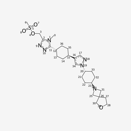 Cn1c(COS(C)(=O)=O)nnc1[C@H]1CC[C@H](c2cnn([C@H]3CC[C@H](N4CC5(CCOC5)C4)CC3)c2)CC1